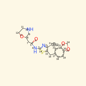 CC(C)(C)c1nc(NC(=O)CC2CNCCO2)sc1Cc1ccc2c(c1)OCO2